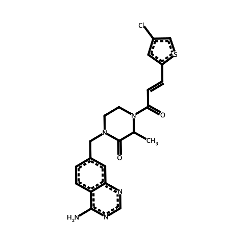 CC1C(=O)N(Cc2ccc3c(N)ncnc3c2)CCN1C(=O)/C=C/c1cc(Cl)cs1